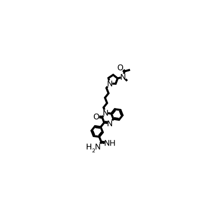 CC(=O)N(C)C1CCN(CCCCCn2c(=O)c(-c3cccc(C(=N)N)c3)nc3ccccc32)C1